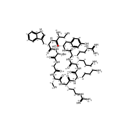 CC[C@H](C)[C@H](NC(=O)[C@H](Cc1c[nH]c2ccccc12)NC(=O)[C@@H](N)CC(C)C)C(=O)NCC(=O)N[C@@H](CC(C)C)C(=O)N[C@@H](CCCNC(=N)N)C(=O)N[C@@H](CCCCN)C(=O)N[C@@H](CCCCN)C(=O)N[C@@H](CCCNC(=N)N)C(=O)N[C@@H](Cc1ccc(O)cc1)C(=O)O